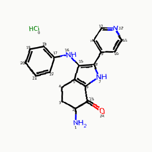 Cl.NC1CCc2c([nH]c(-c3ccncc3)c2Nc2ccccc2)C1=O